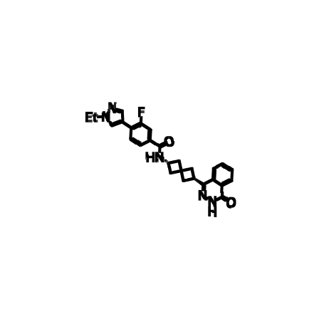 CCn1cc(-c2ccc(C(=O)N[C@H]3CC4(C3)C[C@H](c3n[nH]c(=O)c5ccccc53)C4)cc2F)cn1